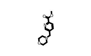 COC(=O)c1ccc(CN2CCOCC2)cn1